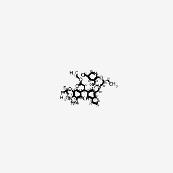 CCOC(=O)C[C@@H](c1cc(CN2C[C@@H](CC)Oc3ncc(Cl)cc3S2(=O)=O)c2sccc2c1)c1cc(OC(F)(F)F)c2c(nnn2C)c1C